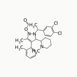 CC1=C(c2ccccc2C)C(C2CCCCN2C)N(C(C)c2ccc(Cl)c(Cl)c2)N1OC=O